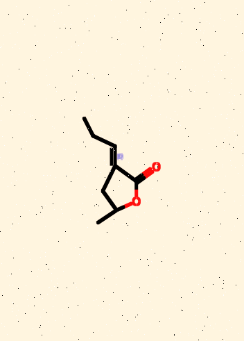 CC/C=C1\CC(C)OC1=O